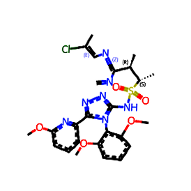 C=N/C(=N\C=C(/C)Cl)[C@@H](C)[C@H](C)S(=O)(=O)Nc1nnc(-c2cccc(OC)n2)n1-c1c(OC)cccc1OC